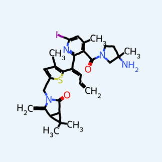 C=C/C=C(/c1nc(I)cc(C)c1C(=O)N1CCC(C)(N)C1)c1sc(CN2C(=C)C3C(C2=O)C3(C)C)cc1C